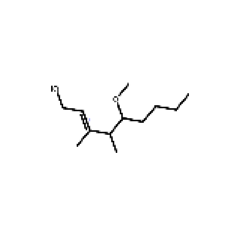 CCCCC(OC)C(C)/C(C)=C/CO